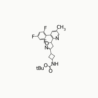 Cc1cnc(C2CC(C3CC(NC(=O)OC(C)(C)C)C3)=NO2)c(-c2c(F)cc(F)cc2F)c1